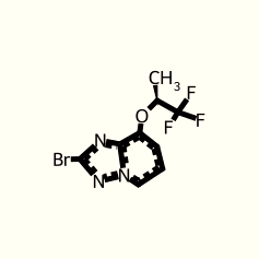 C[C@H](Oc1cccn2nc(Br)nc12)C(F)(F)F